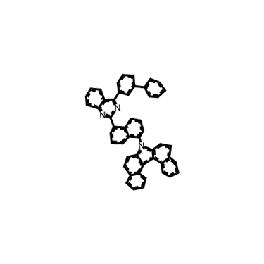 c1ccc(-c2cccc(-c3nc(-c4cccc5c(-n6c7ccc8ccccc8c7c7c8ccccc8ccc76)cccc45)nc4ccccc34)c2)cc1